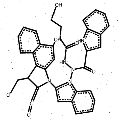 O=C=C1C(CCl)c2c(cc(O)c3ccccc23)N1c1cc2ccccc2n1N(NC(=O)CCCO)C(=O)c1cc2ccccc2[nH]1